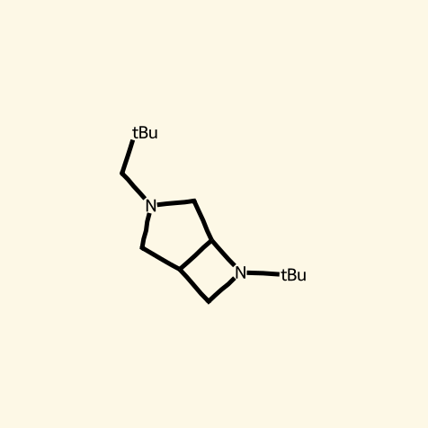 CC(C)(C)CN1CC2CN(C(C)(C)C)C2C1